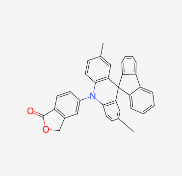 Cc1ccc2c(c1)C1(c3ccccc3-c3ccccc31)c1cc(C)ccc1N2c1ccc2c(c1)COC2=O